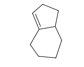 C1=C2CCCCC2CC1